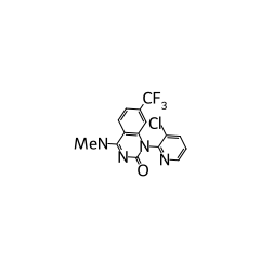 CNc1nc(=O)n(-c2ncccc2Cl)c2cc(C(F)(F)F)ccc12